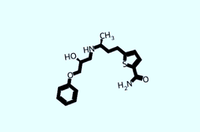 C[C@@H](CCc1ccc(C(N)=O)s1)NC[C@H](O)COc1ccccc1